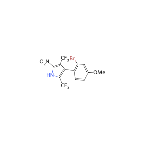 COc1ccc(-c2c(C(F)(F)F)[nH]c([N+](=O)[O-])c2C(F)(F)F)c(Br)c1